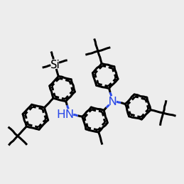 Cc1cc(Nc2ccc([Si](C)(C)C)cc2-c2ccc(C(C)(C)C)cc2)cc(N(c2ccc(C(C)(C)C)cc2)c2ccc(C(C)(C)C)cc2)c1